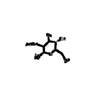 CC(=O)N[C@H]1C(O)[C@H](O)C(CO)O[C@H]1S